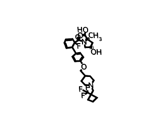 C[C@@]1(C(=O)O)C[C@@H](O)CN1C(=O)C1(F)C=CC=CC1c1ccc(OCC2CCN(CC3(C(F)(F)F)CCC3)CC2)cc1